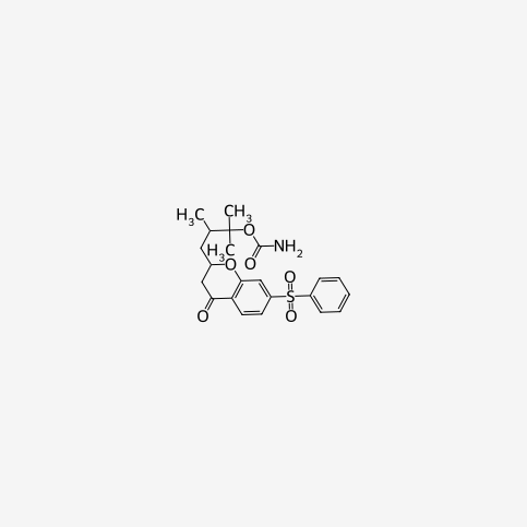 CC(CC1CC(=O)c2ccc(S(=O)(=O)c3ccccc3)cc2O1)C(C)(C)OC(N)=O